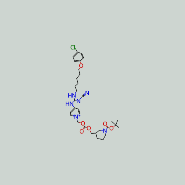 CC(C)(C)OC(=O)N1CCCC(COC(=O)OC[n+]2ccc(NC(=NC#N)NCCCCCCOc3ccc(Cl)cc3)cc2)C1